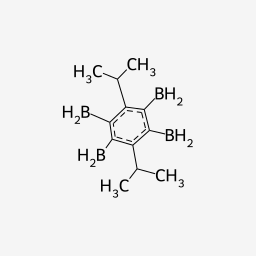 Bc1c(B)c(C(C)C)c(B)c(B)c1C(C)C